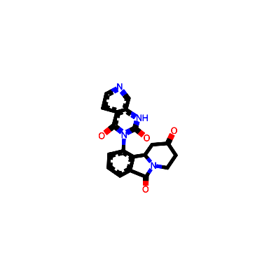 O=C1CCN2C(=O)c3cccc(-n4c(=O)[nH]c5cnccc5c4=O)c3C2C1